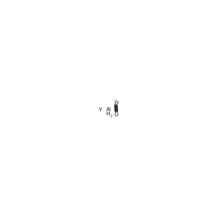 [AlH3].[O]=[Zr].[Y]